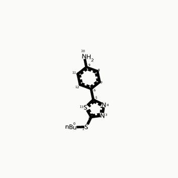 CCCCSc1nnc(-c2ccc(N)cc2)s1